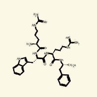 N=C(N)NCCC[C@H](NC(=O)[C@H](Cc1c[nH]c2ccccc12)NC(=O)[C@@H](N)CCCNC(=N)N)C(=O)N[C@@H](Cc1ccccc1)C(=O)O